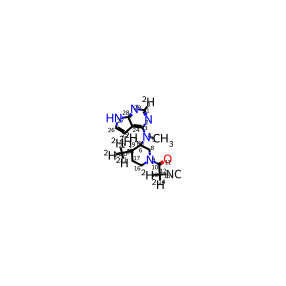 [2H]c1nc(N(C)[C@@]2([2H])CN(C(=O)C([2H])([2H])[N+]#[C-])CC[C@@]2([2H])C([2H])([2H])[2H])c2cc[nH]c2n1